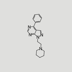 c1ccc(-c2ncnc3c2cnn3CCN2CCCCC2)cc1